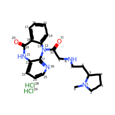 CN1CCCC1CCNCC(=O)N1c2ccccc2C(=O)Nc2cccnc21.Cl.Cl